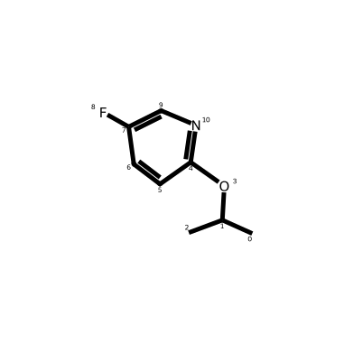 CC(C)Oc1ccc(F)cn1